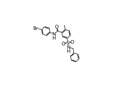 Cc1ccc(S(=O)(=O)NCc2ccccc2)cc1C(=O)Nc1ccc(Br)cc1